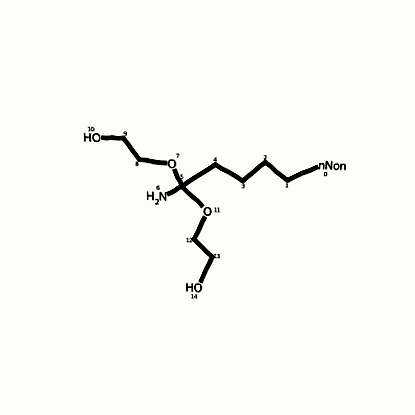 CCCCCCCCCCCCCC(N)(OCCO)OCCO